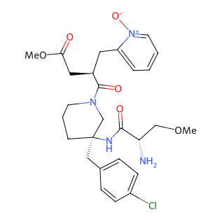 COC[C@H](N)C(=O)N[C@@]1(Cc2ccc(Cl)cc2)CCCN(C(=O)[C@@H](CC(=O)OC)Cc2cccc[n+]2[O-])C1